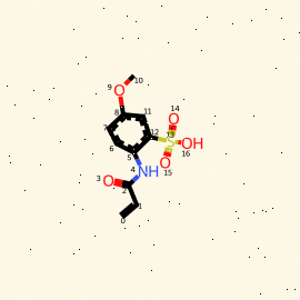 C=CC(=O)Nc1ccc(OC)cc1S(=O)(=O)O